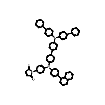 O=C1C=CC(=O)N1c1ccc(N(c2ccc(-c3ccc(N(c4ccc(-c5ccccc5)cc4)c4ccc(-c5ccccc5)cc4)cc3)cc2)c2ccc(-c3cccc4ccccc34)cc2)cc1